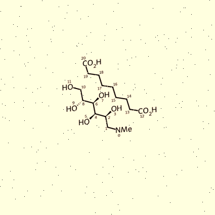 CNC[C@H](O)[C@@H](O)[C@H](O)[C@H](O)CO.O=C(O)CCCCCCCC(=O)O